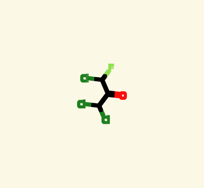 O=C(C(F)Cl)C(Cl)Cl